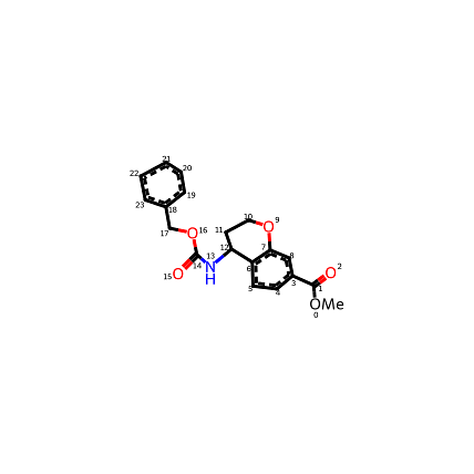 COC(=O)c1ccc2c(c1)OCCC2NC(=O)OCc1ccccc1